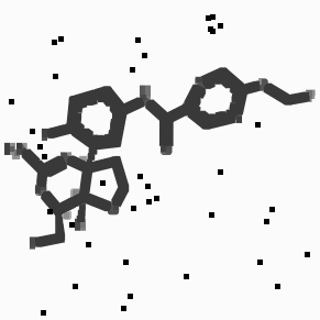 NC1=N[C@@]2(c3cc(NC(=O)c4cnc(OCF)cn4)ccc3F)CCO[C@H]2[C@@H](CF)O1